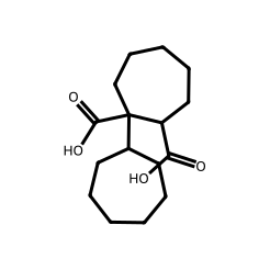 O=C(O)C1CCCCCC1(C(=O)O)C1CCCCCC1